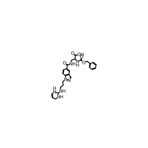 O=C(NC(CNC(=O)c1ccc2c(cnn2CCCNC2NC=CCN2)c1)C(=O)O)OCc1ccccc1